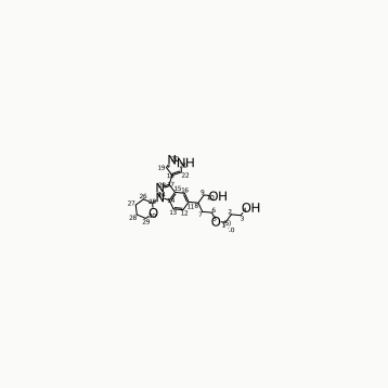 C[C@@H](CCO)OCCC(CO)c1ccc2c(c1)c(-c1cn[nH]c1)nn2C1CCCCO1